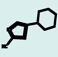 N#Cc1cc(C2CCCCC2)cs1